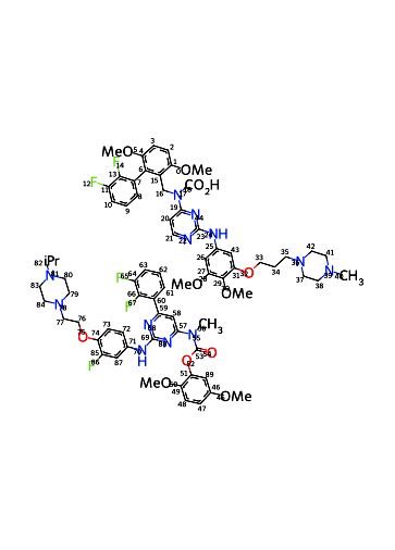 COc1ccc(OC)c(-c2cccc(F)c2F)c1CN(C(=O)O)c1ccnc(Nc2cc(OC)c(OC)c(OCCCN3CCN(C)CC3)c2)n1.COc1ccc(OC)c(OC(=O)N(C)c2cc(-c3cccc(F)c3F)nc(Nc3ccc(OCCN4CCN(C(C)C)CC4)c(F)c3)n2)c1